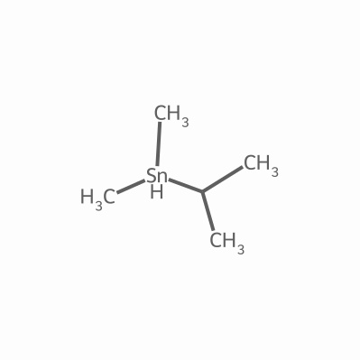 C[CH](C)[SnH]([CH3])[CH3]